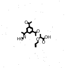 C=CCOC(C)C(=O)O.CC(=O)c1cc(C(C)=O)cc(C(C)=NO)c1